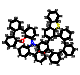 c1ccc(-c2ccccc2N(c2ccc3c4ccccc4c4ccccc4c4ccccc4c4c(ccc5c6ccccc6sc54)c3c2)c2cccc3c2Oc2ccccc2-c2ccccc2-3)cc1